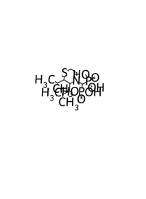 CC(C)CC1C(C(C)C)SCCN1C(P(=O)(O)O)P(=O)(O)O